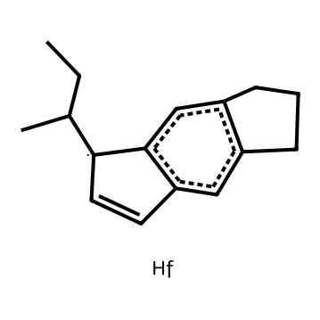 CCC(C)[C]1C=Cc2cc3c(cc21)CCC3.[Hf]